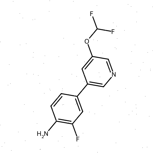 Nc1ccc(-c2cncc(OC(F)F)c2)cc1F